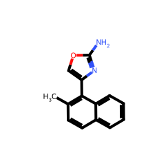 Cc1ccc2ccccc2c1-c1coc(N)n1